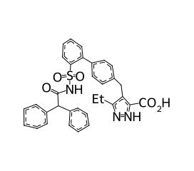 CCc1n[nH]c(C(=O)O)c1Cc1ccc(-c2ccccc2S(=O)(=O)NC(=O)C(c2ccccc2)c2ccccc2)cc1